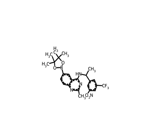 Cc1nc(NC(C)c2cc([N+](=O)[O-])cc(C(F)(F)F)c2)c2cc(B3OC(C)(C)C(C)(C)O3)ccc2n1